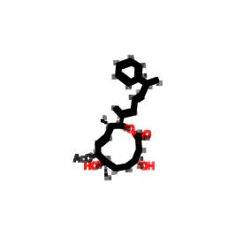 CC(=O)O[C@H]1/C=C/[C@H](C)[C@@H](/C(C)=C/C=C/C(C)c2ccccc2)OC(=O)C[C@H](O)CC[C@@]1(C)O